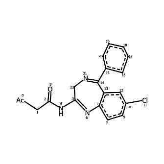 CC(=O)CC(=O)NC1=Nc2ccc(Cl)cc2C(c2ccccc2)=NC1